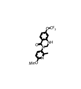 COc1ccc(N2CNc3cc(OC(F)(F)F)ccc3C2=O)c(C)n1